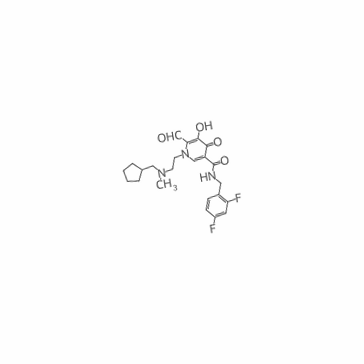 CN(CCn1cc(C(=O)NCc2ccc(F)cc2F)c(=O)c(O)c1C=O)CC1CCCC1